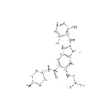 Cn1c(Nc2c(Cl)cncc2Cl)nc2cc(C(=O)N[C@H]3CC[C@H](C)CC3)c(OCC(F)F)nc21